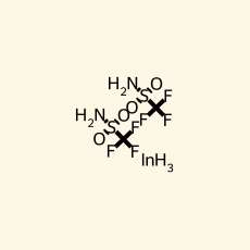 NS(=O)(=O)C(F)(F)F.NS(=O)(=O)C(F)(F)F.[InH3]